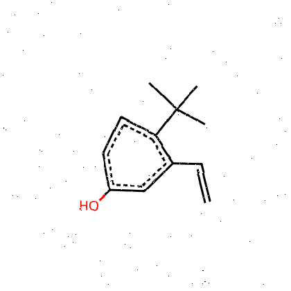 C=Cc1cc(O)ccc1C(C)(C)C